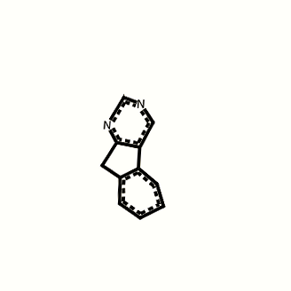 [c]1ncc2c(n1)Cc1ccccc1-2